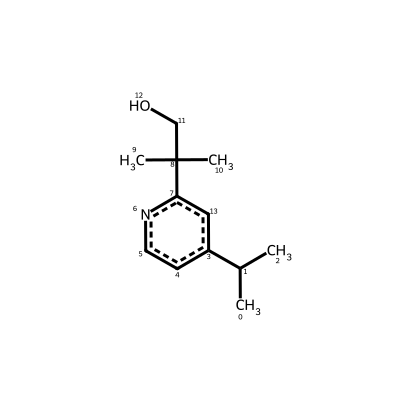 CC(C)c1ccnc(C(C)(C)CO)c1